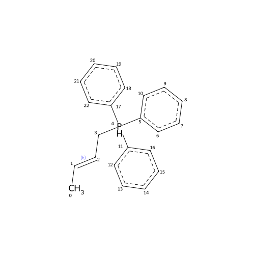 C/C=C/C[PH](c1ccccc1)(c1ccccc1)c1ccccc1